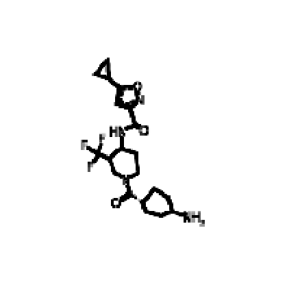 N[C@H]1CC[C@H](C(=O)N2CCC(NC(=O)c3cc(C4CC4)on3)C(C(F)(F)F)C2)CC1